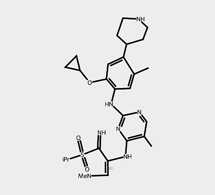 CN/C=C(/Nc1nc(Nc2cc(C)c(C3CCNCC3)cc2OC2CC2)ncc1C)C(=N)S(=O)(=O)C(C)C